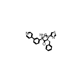 CN(C(=O)[C@H](Cc1ccccc1)N(C)c1cscn1)c1cccc(-c2ccncc2)c1